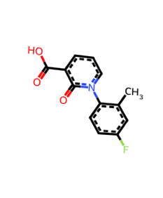 Cc1cc(F)ccc1-n1cccc(C(=O)O)c1=O